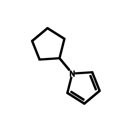 c1ccn(C2CCCC2)c1